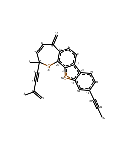 C=C(C)C#CC1(C)C=CC(=C)c2ccc3c(sc4cc(C#CC)ccc43)c2S1